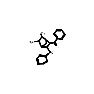 CC1C(C)C2CC1C(C(=O)c1ccccc1)C2C(=O)c1ccccc1